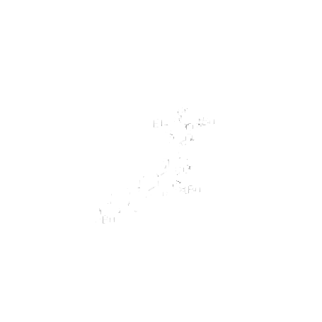 CCC(C)CC(C)CC(C)CC(C)C=C(C)C=C(CC(C)C(=O)OC(CC)C(=O)OC(C)(C)C)C(=O)OC(C)(C)C